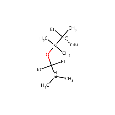 CCCC[C@@](C)(CC)[Si](C)(C)OC(CC)(CC)[SiH](C)C